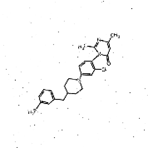 Cc1cc(=O)n(-c2ccc(N3CCC(Cc4cccc(P)c4)CC3)cc2Cl)c(C)n1